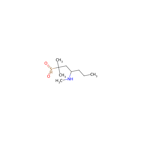 CCCC(CC(C)(C)[SH](=O)=O)NC